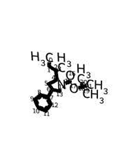 CCC(C)C1CC(c2ccccc2)CN1C(=O)OC(C)(C)C